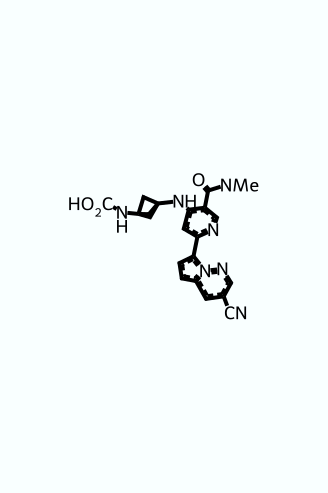 CNC(=O)c1cnc(-c2ccc3cc(C#N)cnn23)cc1NC12CC(NC(=O)O)(C1)C2